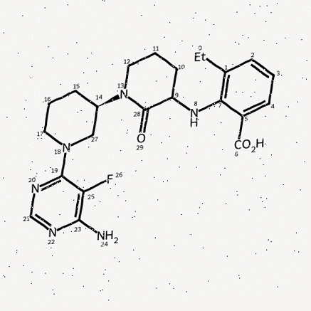 CCc1cccc(C(=O)O)c1NC1CCCN([C@@H]2CCCN(c3ncnc(N)c3F)C2)C1=O